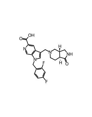 O=C(O)c1cc2c(CN3CC[C@@H]4C(=O)NC[C@H]4C3)cn(Cc3ccc(F)cc3F)c2cn1